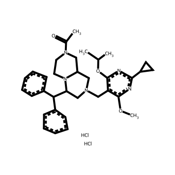 COc1nc(C2CC2)nc(OC(C)C)c1CN1CC2CN(C(C)=O)CCN2C(C(c2ccccc2)c2ccccc2)C1.Cl.Cl